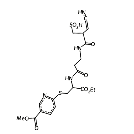 CCOC(=O)C(CSc1ccc(C(=O)OC)cn1)NC(=O)CCNC(=O)C(C=C=N)CS(=O)(=O)O